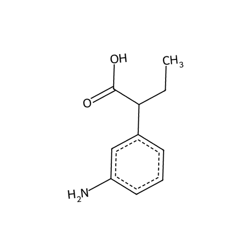 CCC(C(=O)O)c1cccc(N)c1